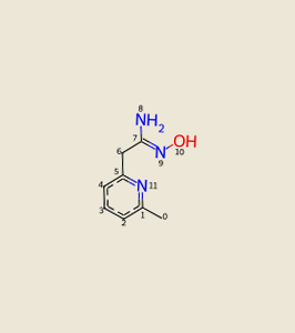 Cc1cccc(CC(N)=NO)n1